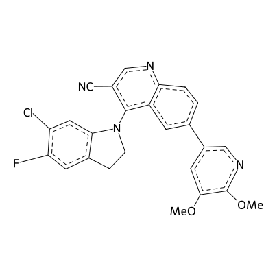 COc1cc(-c2ccc3ncc(C#N)c(N4CCc5cc(F)c(Cl)cc54)c3c2)cnc1OC